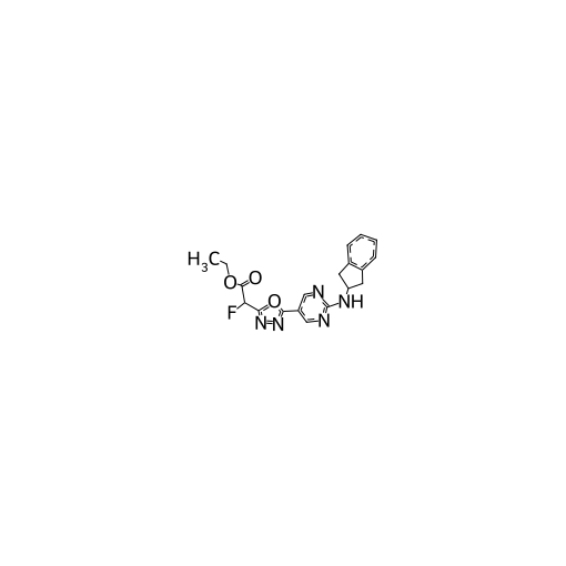 CCOC(=O)C(F)c1nnc(-c2cnc(NC3Cc4ccccc4C3)nc2)o1